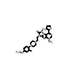 COc1ccc(N2CCN(CCn3c(=O)n(C)n4c5c(nc34)N(N)CN=C5c3ccco3)CC2)c(F)c1